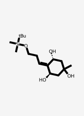 CC1(O)C[C@@H](O)C(=CCCO[Si](C)(C)C(C)(C)C)[C@H](O)C1